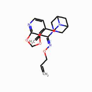 C=CCO/N=C(\C=C)N1CC2CC(C1)N2Cc1ccnc2c1OCO2